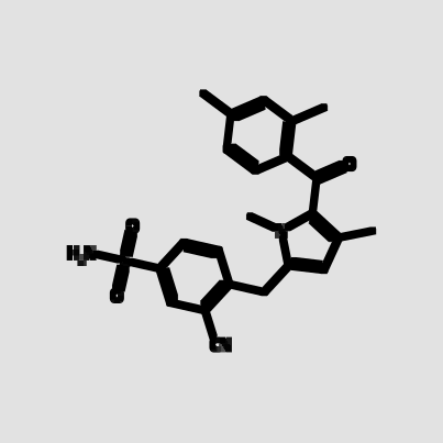 Cc1ccc(C(=O)c2c(C)cc(Cc3ccc(S(N)(=O)=O)cc3C#N)n2C)c(C)c1